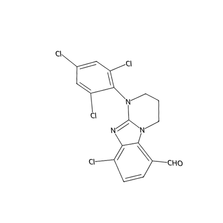 O=Cc1ccc(Cl)c2nc3n(c12)CCCN3c1c(Cl)cc(Cl)cc1Cl